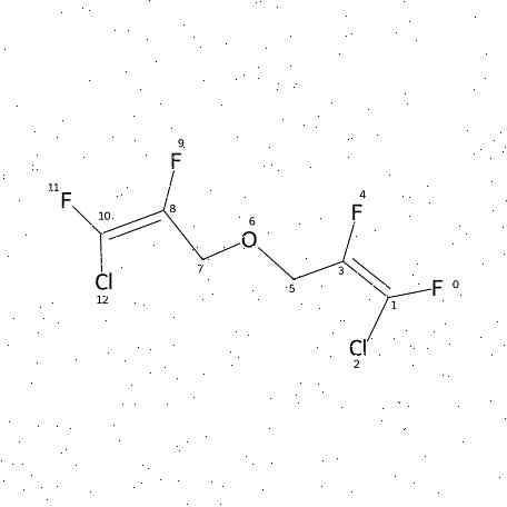 FC(Cl)=C(F)COCC(F)=C(F)Cl